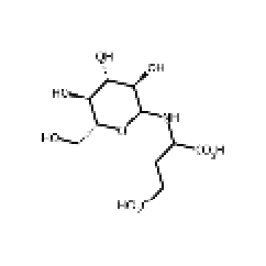 O=C(O)CCC(NC1O[C@H](CO)[C@@H](O)[C@H](O)[C@H]1O)C(=O)O